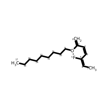 C=C(/C=C\C(F)=C/C)OCCCCCCCCC